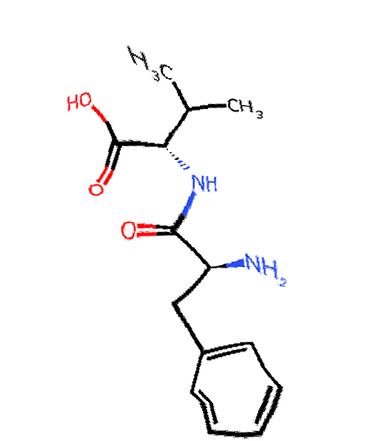 CC(C)[C@H](NC(=O)[C@@H](N)Cc1ccccc1)C(=O)O